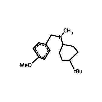 COc1ccc(CN(C)C2CCC(C(C)(C)C)CC2)cc1